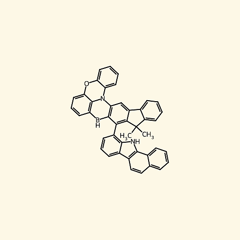 CC1(C)c2ccccc2-c2cc3c(c(-c4cccc5c4[nH]c4c6ccccc6ccc54)c21)Bc1cccc2c1N3c1ccccc1O2